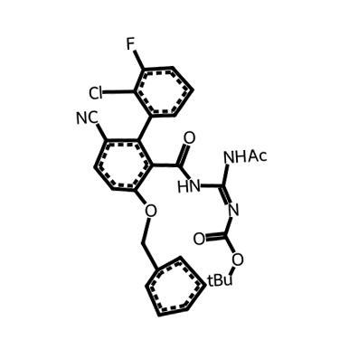 CC(=O)N/C(=N/C(=O)OC(C)(C)C)NC(=O)c1c(OCc2ccccc2)ccc(C#N)c1-c1cccc(F)c1Cl